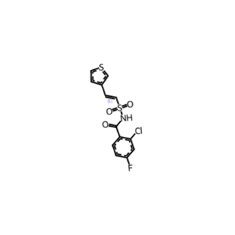 O=C(NS(=O)(=O)/C=C/c1ccsc1)c1ccc(F)cc1Cl